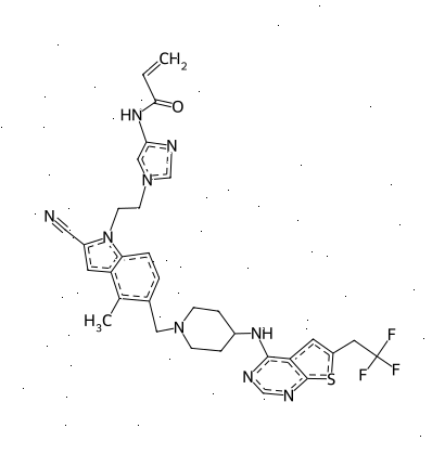 C=CC(=O)Nc1cn(CCn2c(C#N)cc3c(C)c(CN4CCC(Nc5ncnc6sc(CC(F)(F)F)cc56)CC4)ccc32)cn1